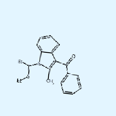 CCSC(CC)n1c(C)c(C(=O)c2ccccc2)c2ccccc21